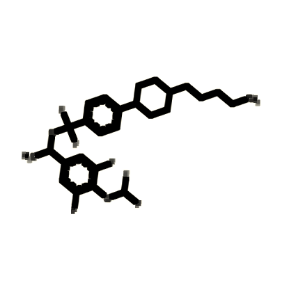 CCCCCC1CCC(c2ccc(C(F)(F)OC(C)c3cc(F)c(OC(F)F)c(F)c3)cc2)CC1